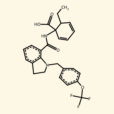 CCC1C=CC=CC1(NC(=O)c1cccc2c1N(Cc1ccc(OC(F)(F)F)cc1)CC2)C(=O)O